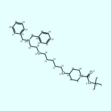 CC(C)(C)OC(=O)N1CCC(OCCCCCOCCN(Cc2ccccc2)Cc2ccccc2)CC1